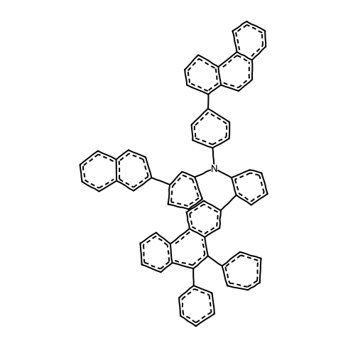 c1ccc(-c2c(-c3ccccc3)c3cc(-c4ccccc4N(c4ccc(-c5cccc6c5ccc5ccccc56)cc4)c4cccc(-c5ccc6ccccc6c5)c4)ccc3c3ccccc23)cc1